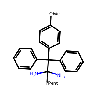 CCCCCC(N)(N)C(c1ccccc1)(c1ccccc1)c1ccc(OC)cc1